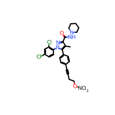 Cc1c(C(=O)NN2CCCCC2)nn(-c2ccc(Cl)cc2Cl)c1-c1ccc(C#CCCO[N+](=O)[O-])cc1